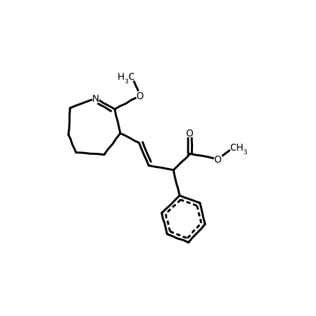 COC(=O)C(C=CC1CCCCN=C1OC)c1ccccc1